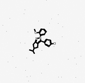 COc1ccccc1-n1nc2c(c1-c1ccc(Cl)cc1)CC(C(C)C)C2